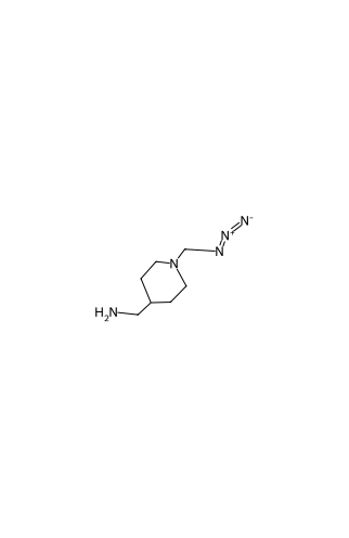 [N-]=[N+]=NCN1CCC(CN)CC1